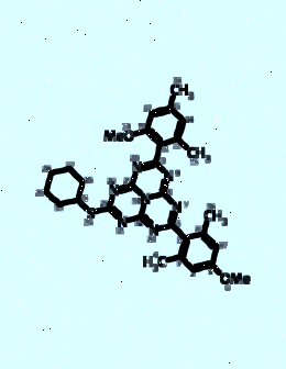 COc1cc(C)c(C2=NC3=NC(c4c(C)cc(C)cc4OC)=NC4=NC(SC5CCCCC5)=NC(=N2)N43)c(C)c1